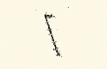 C=C(COCCOCCNC(=O)COCCOCCNC(=O)CCCC(=O)NCCOCCOCC(=O)NCCOCCOCC(=O)NCCCC[C@H](NC)C(N)=O)NCCCC[C@H](NC)C(N)=O